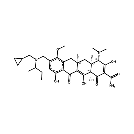 CCC(C)N(Cc1cc(O)c2c(c1OC)C[C@H]1C[C@H]3[C@H](N(C)C)C(O)=C(C(N)=O)C(=O)[C@@]3(O)C(O)=C1C2=O)CC1CC1